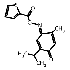 CC1=CC(=O)C(C(C)C)=CC1=NOC(=O)c1cccs1